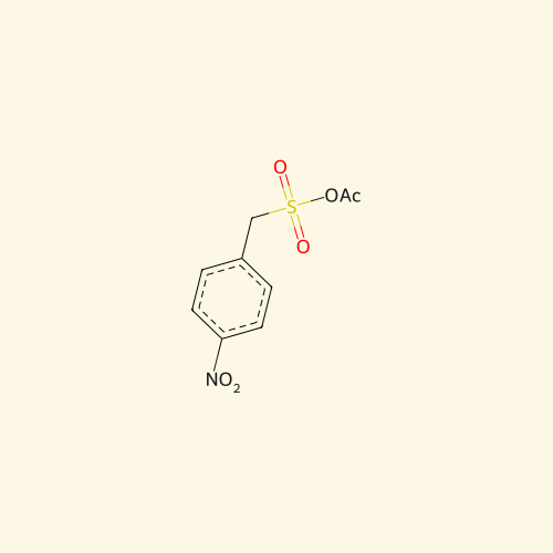 CC(=O)OS(=O)(=O)Cc1ccc([N+](=O)[O-])cc1